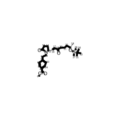 COC(=O)c1ccc(CCN2C(=O)CC[C@@H]2C=CC(=O)CCC[C@H](C)O[Si](C)(C)C(C)(C)C)cc1